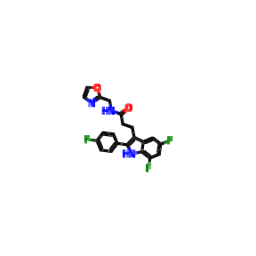 O=C(CCc1c(-c2ccc(F)cc2)[nH]c2c(F)cc(F)cc12)NCc1ncco1